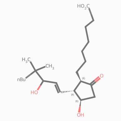 CCCCC(C)(C)C(O)C=C[C@H]1[C@H](O)CC(=O)[C@@H]1CCCCCCC(=O)O